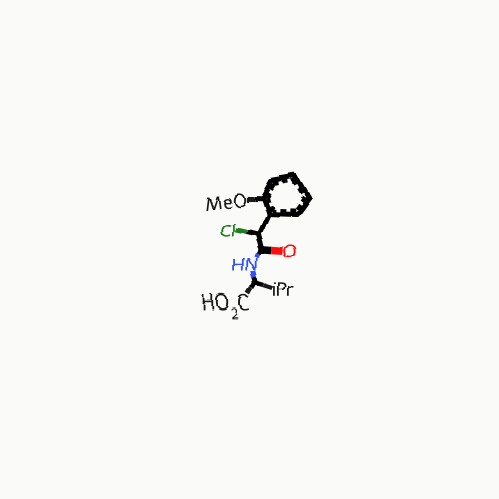 COc1ccccc1C(Cl)C(=O)NC(C(=O)O)C(C)C